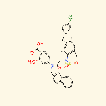 Cc1cc(C)c(N(CC(=O)N(Cc2ccc3ccccc3c2)c2ccc(C(=O)O)c(O)c2)[SH](=O)=O)c(C)c1Cc1ccc(Cl)cc1